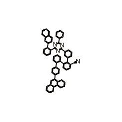 N#Cc1cccc(-c2ccccc2-c2ccc(-c3cc4ccccc4c4ccccc34)cc2)c1-c1cccc(-c2nc(-c3ccccc3)nc(-c3ccccc3-c3ccc4ccccc4c3)n2)c1